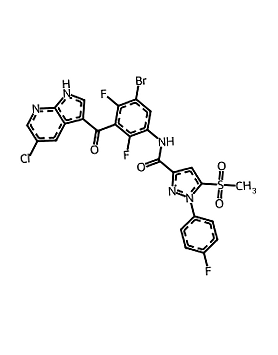 CS(=O)(=O)c1cc(C(=O)Nc2cc(Br)c(F)c(C(=O)c3c[nH]c4ncc(Cl)cc34)c2F)nn1-c1ccc(F)cc1